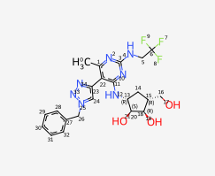 Cc1nc(NCC(F)(F)F)nc(N[C@@H]2C[C@H](CO)[C@@H](O)[C@H]2O)c1-c1cn(Cc2ccccc2)nn1